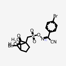 CC1(C)C2CCC1(CS(=O)(=O)O/N=C(/C#N)c1ccc(Br)cc1)C(=O)C2Br